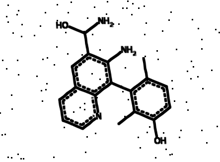 Cc1ccc(O)c(C)c1-c1c(N)c(C(N)O)cc2cccnc12